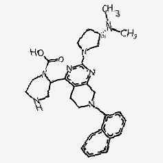 CN(C)[C@H]1CCN(c2nc3c(c(C4CNCCN4C(=O)O)n2)CCN(c2cccc4ccccc24)C3)C1